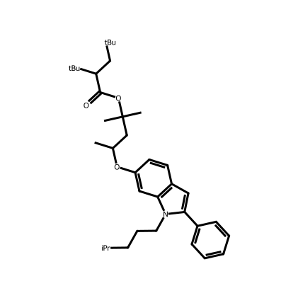 CC(C)CCCn1c(-c2ccccc2)cc2ccc(OC(C)CC(C)(C)OC(=O)C(CC(C)(C)C)C(C)(C)C)cc21